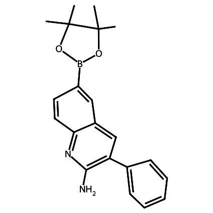 CC1(C)OB(c2ccc3nc(N)c(-c4ccccc4)cc3c2)OC1(C)C